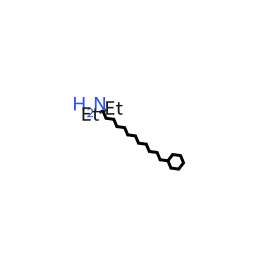 CCC(N)(CC)CCCCCCCCCCCC1CCCCC1